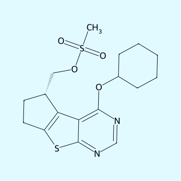 CS(=O)(=O)OC[C@H]1CCc2sc3ncnc(OC4CCCCC4)c3c21